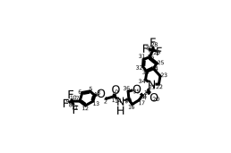 O=C(COc1ccc(C(F)(F)F)cc1)N[C@@H]1CC[C@@H](C(=O)N2CCc3cc(C(F)(F)F)ccc3C2)OC1